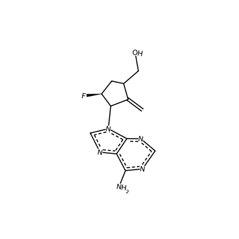 C=C1C(CO)C[C@H](F)C1n1cnc2c(N)ncnc21